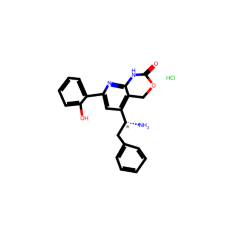 Cl.N[C@H](Cc1ccccc1)c1cc(-c2ccccc2O)nc2c1COC(=O)N2